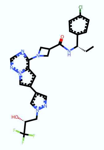 CC[C@H](NC(=O)C1CN(c2ncnn3cc(-c4cnn(C[C@@H](O)C(F)(F)F)c4)cc23)C1)c1ccc(Cl)cc1